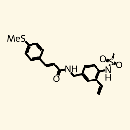 C=Cc1cc(CNC(=O)C=Cc2ccc(SC)cc2)ccc1NS(C)(=O)=O